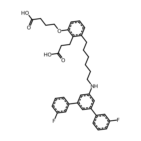 O=C(O)CCCOc1cccc(CCCCCCNc2cc(-c3cccc(F)c3)cc(-c3cccc(F)c3)c2)c1CCC(=O)O